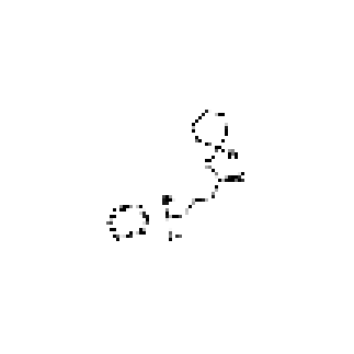 CCC1(OC(=O)CCCC(c2ccccc2)(C(C)C)C(C)C)CCCCC1